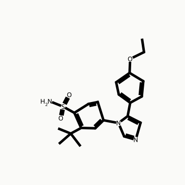 CCOc1ccc(-c2cncn2-c2ccc(S(N)(=O)=O)c(C(C)(C)C)c2)cc1